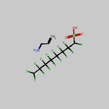 C=CCN.O=S(=O)(O)C(F)C(F)(F)C(F)(F)C(F)(F)C(F)(F)C(F)(F)C(F)(F)C(F)F